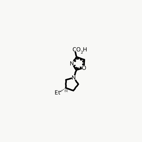 CC[C@H]1CCN(c2nc(C(=O)O)co2)C1